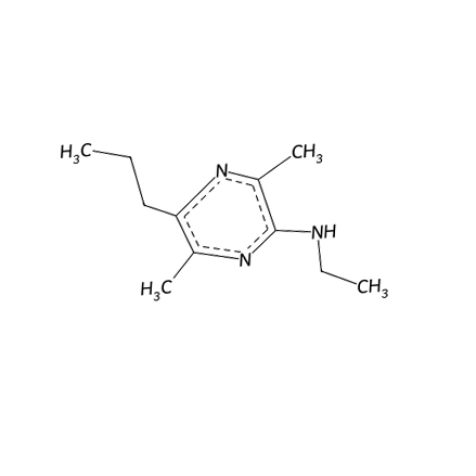 CCCc1nc(C)c(NCC)nc1C